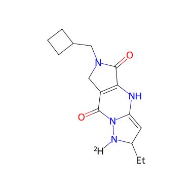 [2H]N1C(CC)C=C2NC3=C(CN(CC4CCC4)C3=O)C(=O)N21